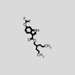 CCCC(CCC)COC(=O)c1c[nH]c2cc(OC(F)F)ccc12